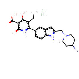 CCc1c(-c2ccc3c(c2)cc(CN2CCC(N)CC2)n3C)[nH]c(=O)c(C(=O)O)c1O.Cl.Cl